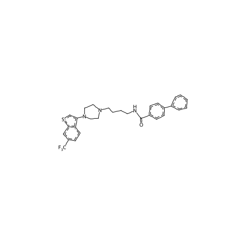 O=C(NCCCCN1CCN(c2csc3cc(C(F)(F)F)ccc23)CC1)c1ccc(-c2ccccc2)cc1